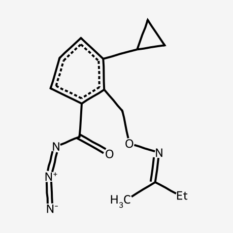 CCC(C)=NOCc1c(C(=O)N=[N+]=[N-])cccc1C1CC1